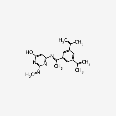 C=Nc1nc(O)cc(/N=C(\C)c2cc(C(=C)C)cc(C(=C)C)c2)n1